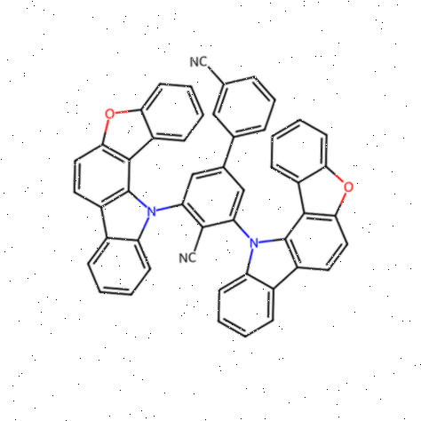 N#Cc1cccc(-c2cc(-n3c4ccccc4c4ccc5oc6ccccc6c5c43)c(C#N)c(-n3c4ccccc4c4ccc5oc6ccccc6c5c43)c2)c1